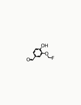 O=Cc1ccc(O)c(OCF)c1